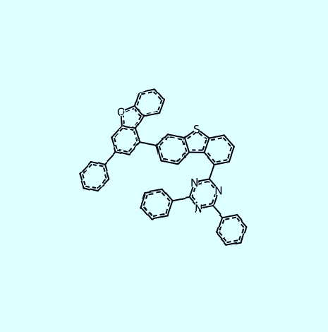 c1ccc(-c2cc(-c3ccc4c(c3)sc3cccc(-c5nc(-c6ccccc6)nc(-c6ccccc6)n5)c34)c3c(c2)oc2ccccc23)cc1